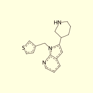 c1cnc2c(c1)cc(C1CCCNC1)n2Cc1ccsc1